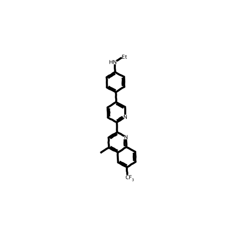 CCNc1ccc(-c2ccc(-c3cc(C)c4cc(C(F)(F)F)ccc4n3)nc2)cc1